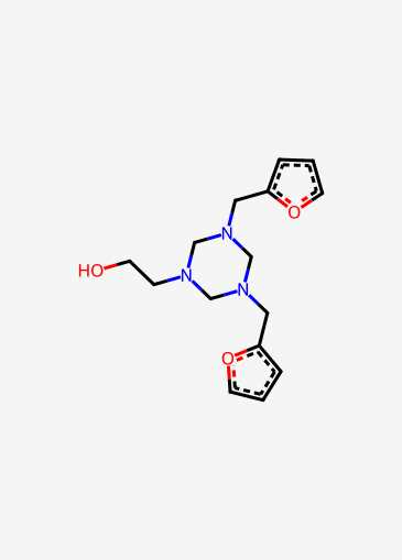 OCCN1CN(Cc2ccco2)CN(Cc2ccco2)C1